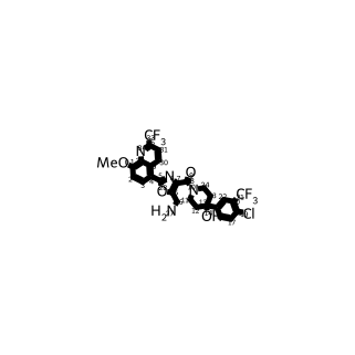 COc1ccc(-c2nc(C(=O)N3CCC(O)(c4ccc(Cl)c(C(F)(F)F)c4)CC3)c(CN)o2)c2ccc(C(F)(F)F)nc12